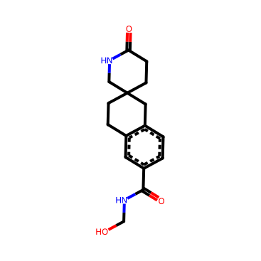 O=C1CCC2(CCc3cc(C(=O)NCO)ccc3C2)CN1